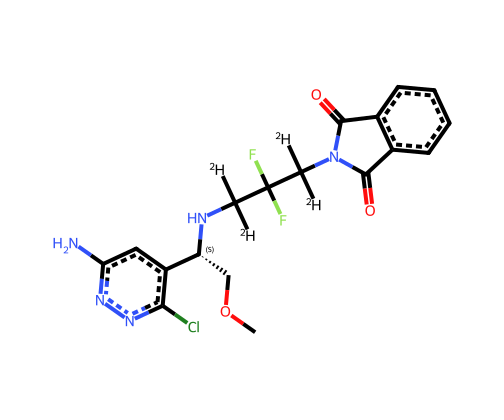 [2H]C([2H])(N[C@H](COC)c1cc(N)nnc1Cl)C(F)(F)C([2H])([2H])N1C(=O)c2ccccc2C1=O